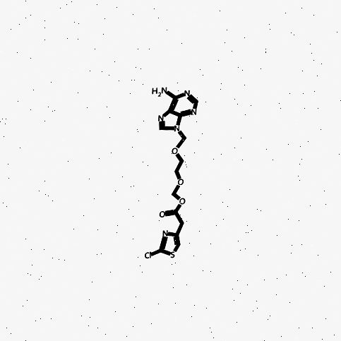 Nc1ncnc2c1ncn2COCCOCOC(=O)Cc1csc(Cl)n1